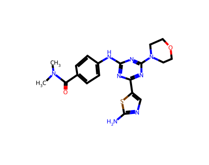 CN(C)C(=O)c1ccc(Nc2nc(-c3cnc(N)s3)nc(N3CCOCC3)n2)cc1